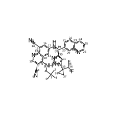 CC(C)(C)CNc1c(C#N)cnc2c(C#N)cc(N[C@@H](c3ccc4cccnc4c3)c3cn(C4(C(F)F)CC4)nn3)cc12